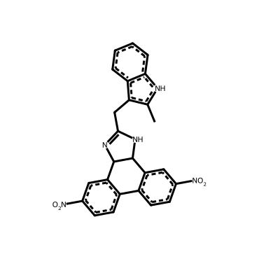 Cc1[nH]c2ccccc2c1CC1=NC2c3cc([N+](=O)[O-])ccc3-c3ccc([N+](=O)[O-])cc3C2N1